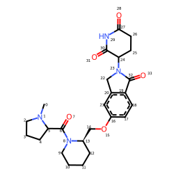 CN1CCCC1C(=O)N1CCCC[C@@H]1COc1ccc2c(c1)CN(C1CCC(=O)NC1=O)C2=O